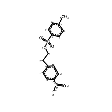 Cc1ccc(S(=O)(=O)OCCc2ccc([N+](=O)[O-])cc2)cc1